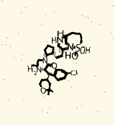 CCCN(C(=O)[C@@H](N)[C@@H](c1ccc(Cl)cc1)C1CCOC(C)(C)C1)[C@H]1CCC[C@@H]1CC[C@H]1CN[C@@H]2CCCS(O)(O)N1C2